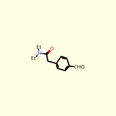 CCN(CC)C(=O)Cc1ccc(C=O)cc1